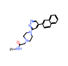 CC(C)NC(=O)CN1CCN(c2cc(-c3ccc4ccccc4c3)cnn2)CC1